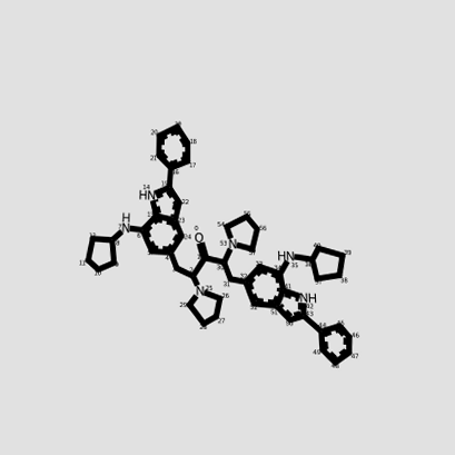 O=C(C(Cc1cc(NC2CCCC2)c2[nH]c(-c3ccccc3)cc2c1)N1CCCC1)C(Cc1cc(NC2CCCC2)c2[nH]c(-c3ccccc3)cc2c1)N1CCCC1